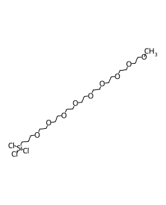 COCCOCCOCCOCCOCCOCCOCCOCCOCCC[Si](Cl)(Cl)Cl